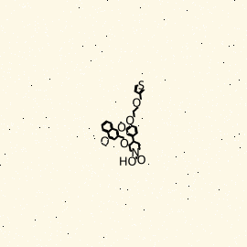 COc1cc(COC2CN(C(=O)O)CCC2c2ccc(OCCCOCc3ccsc3)cc2)c(OC)c2ccccc12